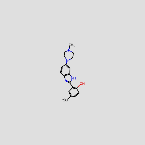 CN1CCN(c2ccc3nc(-c4cc(C(C)(C)C)ccc4O)[nH]c3c2)CC1